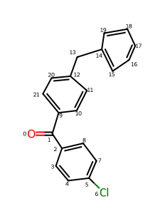 O=C(c1ccc(Cl)cc1)c1ccc(Cc2ccccc2)cc1